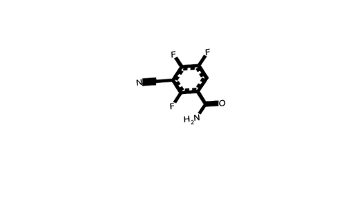 N#Cc1c(F)c(F)cc(C(N)=O)c1F